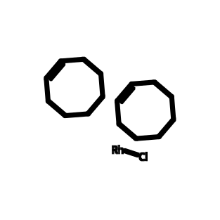 C1=CCCCCCC1.C1=CCCCCCC1.[Cl][Rh]